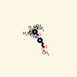 CCOC(=O)/C=C/c1ccc(NC(=O)c2cc([Si](C)(C)C)cc([Si](C)(C)C)c2)cc1